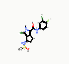 Cn1c(Cl)c2c(c1C(=O)Nc1ccc(F)c(Cl)c1)CCC2N[S+]([O-])C(C)(C)C